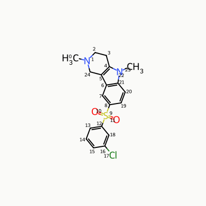 CN1CCc2c(c3cc(S(=O)(=O)c4cccc(Cl)c4)ccc3n2C)C1